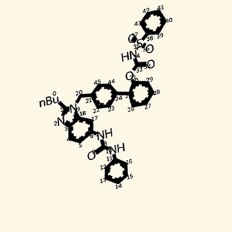 CCCCc1nc2ccc(NC(=O)Nc3ccccc3)cc2n1Cc1ccc(-c2ccccc2OC(=O)NS(=O)(=O)c2ccccc2)cc1